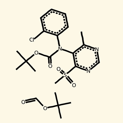 CC(C)(C)OC=O.Cc1ncnc(S(C)(=O)=O)c1N(C(=O)OC(C)(C)C)c1ccccc1Cl